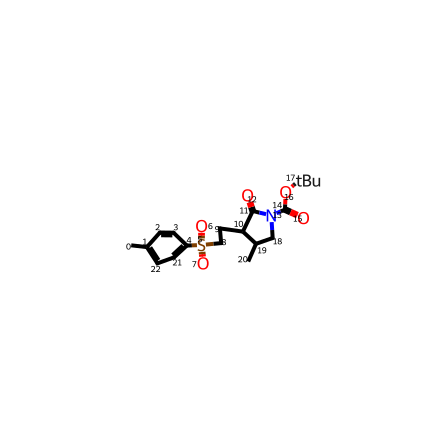 Cc1ccc(S(=O)(=O)CCC2C(=O)N(C(=O)OC(C)(C)C)CC2C)cc1